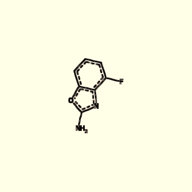 Nc1nc2c(F)cccc2o1